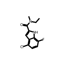 CCN(C)C(=O)c1cc2c(Cl)ccc(F)c2[nH]1